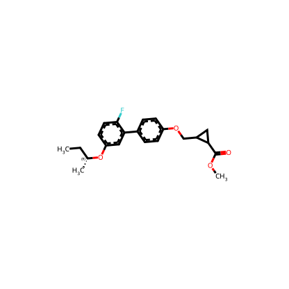 CC[C@@H](C)Oc1ccc(F)c(-c2ccc(OCC3CC3C(=O)OC)cc2)c1